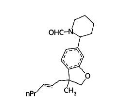 CCC/C=C/CC1(C)COc2cc(C3CCCCN3C=O)ccc21